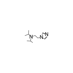 CC(C)N(CCn1ccnc1)C(C)C